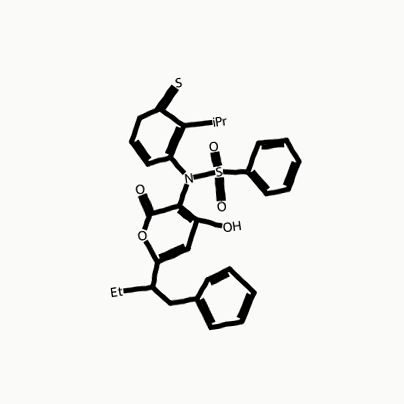 CCC(Cc1ccccc1)c1cc(O)c(N(C2=C(C(C)C)C(=S)CC=C2)S(=O)(=O)c2ccccc2)c(=O)o1